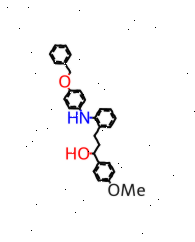 COc1ccc(C(O)CCc2ccccc2Nc2ccc(OCc3ccccc3)cc2)cc1